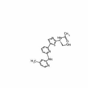 CC(=O)N[C@@H](CO)c1ncc(-c2cccc(Nc3cc(C)ccn3)n2)s1